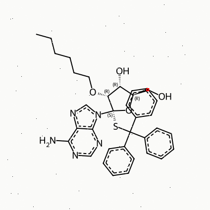 CCCCCCO[C@@H]1[C@H](O)[C@@H](CO)O[C@@]1(SC(c1ccccc1)(c1ccccc1)c1ccccc1)n1cnc2c(N)ncnc21